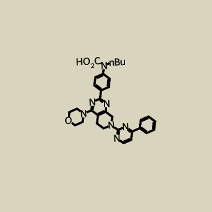 CCCCN(C(=O)O)c1ccc(-c2nc3c(c(N4CCOCC4)n2)CCN(c2nccc(-c4ccccc4)n2)C3)cc1